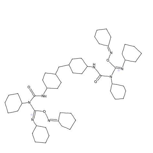 O=C(NC1CCC(CC2CCC(NC(=O)N(/C(=N/C3CCCCC3)ON=C3CCCCC3)C3CCCCC3)CC2)CC1)N(/C(=N/C1CCCCC1)ON=C1CCCCC1)C1CCCCC1